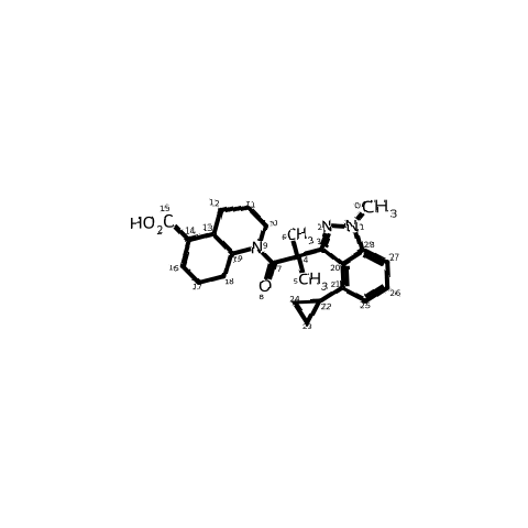 Cn1nc(C(C)(C)C(=O)N2CCCC3C(C(=O)O)CCCC32)c2c(C3CC3)cccc21